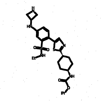 CCNS(=O)(=O)c1cc(NC2CNC2)ccc1-c1cnc([C@H]2CC[C@H](NC(=O)OC(C)C)CC2)s1